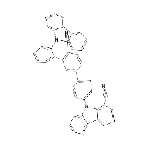 N#Cc1ccc(-c2ccc(-n3c4ccccc4c4cccc(C#N)c43)cc2)cc1-c1ccccc1-n1c2ccccc2c2ccccc21